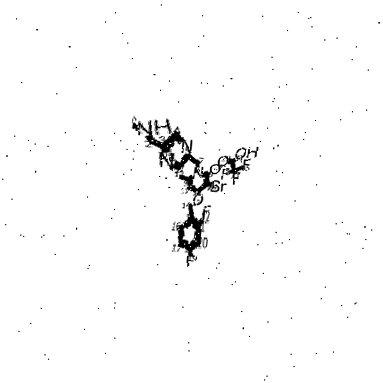 CNCc1cnc(Cn2c(C)cc(OCc3ccc(F)cc3F)c(Br)c2=O)cn1.O=C(O)C(F)(F)F